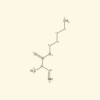 CCCCCOC(=O)C(C)C=N